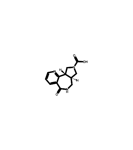 O=C1NC[C@@H]2CN(C(=O)O)C[C@H]2c2ncccc21